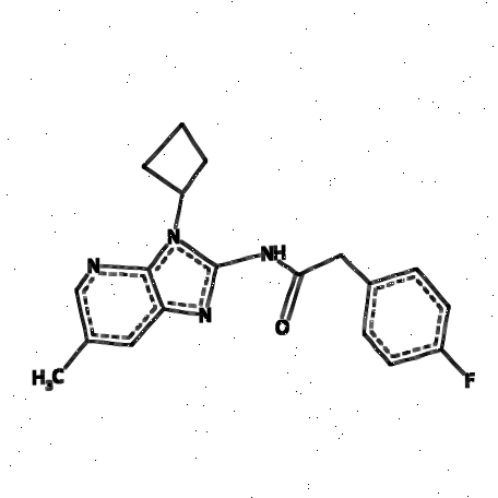 Cc1cnc2c(c1)nc(NC(=O)Cc1ccc(F)cc1)n2C1CCC1